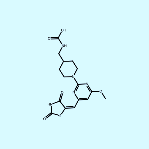 COc1cc(C=C2SC(=O)NC2=O)nc(N2CCC(CNC(=O)O)CC2)n1